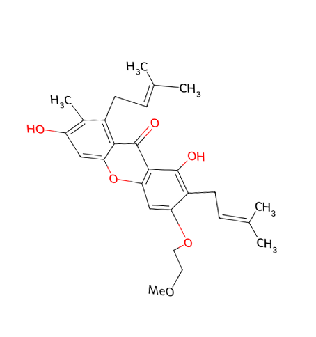 COCCOc1cc2oc3cc(O)c(C)c(CC=C(C)C)c3c(=O)c2c(O)c1CC=C(C)C